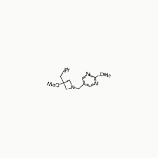 COc1ncc(CN2CC(CC(C)C)(OC)C2)cn1